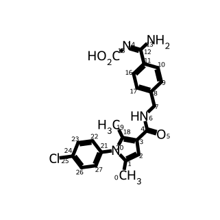 Cc1cc(C(=O)NCc2ccc(/C(N)=N\C(=O)O)cc2)c(C)n1-c1ccc(Cl)cc1